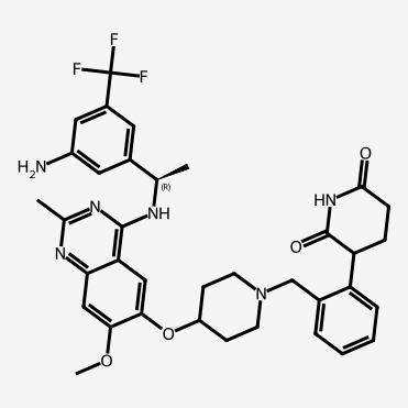 COc1cc2nc(C)nc(N[C@H](C)c3cc(N)cc(C(F)(F)F)c3)c2cc1OC1CCN(Cc2ccccc2C2CCC(=O)NC2=O)CC1